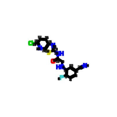 N#Cc1ccc(F)c(NCC(=O)Nc2nc3ccc(Cl)nc3s2)c1